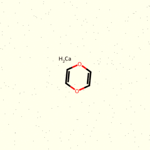 C1=COC=CO1.[CaH2]